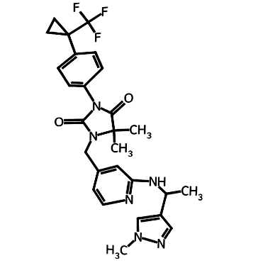 CC(Nc1cc(CN2C(=O)N(c3ccc(C4(C(F)(F)F)CC4)cc3)C(=O)C2(C)C)ccn1)c1cnn(C)c1